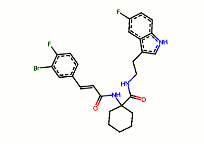 O=C(C=Cc1ccc(F)c(Br)c1)NC1(C(=O)NCCc2c[nH]c3ccc(F)cc23)CCCCC1